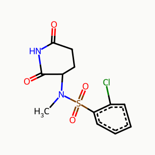 CN(C1CCC(=O)NC1=O)S(=O)(=O)c1ccccc1Cl